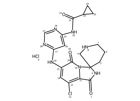 Cl.O=C1NC2(CCCNC2)n2c1c(Cl)cc(Nc1cc(NC(=O)C3CC3)ncn1)c2=O